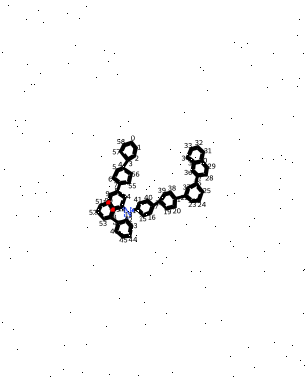 c1ccc(-c2ccc(-c3cccc(N(c4ccc(-c5ccc(-c6cccc(-c7ccc8ccccc8c7)c6)cc5)cc4)c4ccccc4-c4ccccc4)c3)cc2)cc1